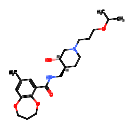 Cc1cc2c(c(C(=O)NC[C@@H]3CCN(CCCOC(C)C)C[C@H]3O)c1)OCCCO2